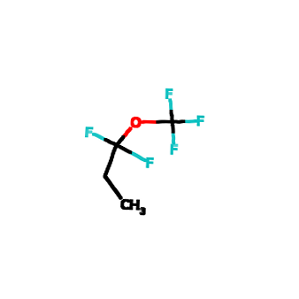 CCC(F)(F)OC(F)(F)F